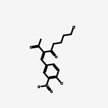 CC(=O)C(=Cc1ccc(Cl)c([N+](=O)[O-])c1)C(=O)CCCCCl